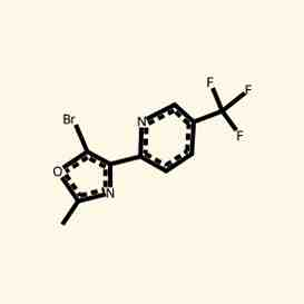 Cc1nc(-c2ccc(C(F)(F)F)cn2)c(Br)o1